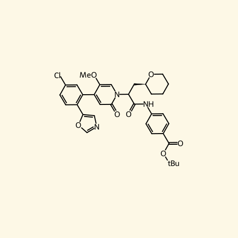 COc1cn(C(C[C@@H]2CCCCO2)C(=O)Nc2ccc(C(=O)OC(C)(C)C)cc2)c(=O)cc1-c1cc(Cl)ccc1-c1cnco1